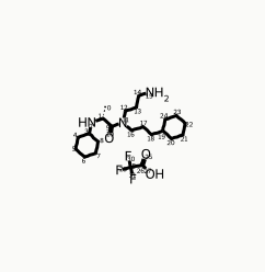 C[C@@H](NC1CCCCC1)C(=O)N(CCCN)CCCC1CCCCC1.O=C(O)C(F)(F)F